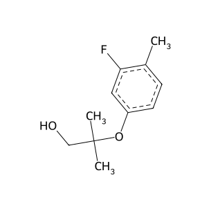 Cc1ccc(OC(C)(C)CO)cc1F